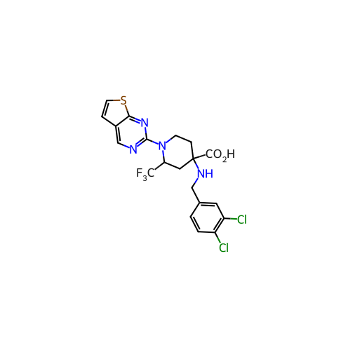 O=C(O)C1(NCc2ccc(Cl)c(Cl)c2)CCN(c2ncc3ccsc3n2)C(C(F)(F)F)C1